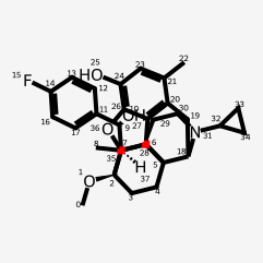 CO[C@]12CCC3(CC1(C)[C@H](O)c1ccc(F)cc1)C1Cc4c(C)cc(O)c5c4[C@@]3(CCN1C1CC1)[C@@H]2O5